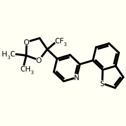 CC1(C)OCC(c2ccnc(-c3cccc4ccsc34)c2)(C(F)(F)F)O1